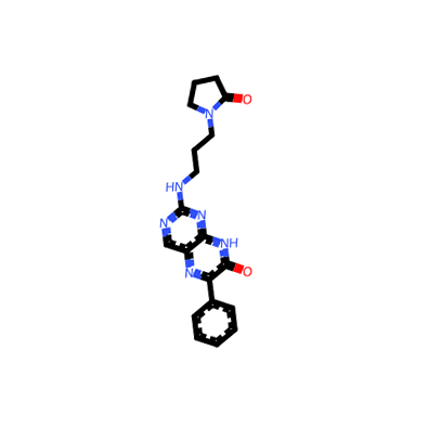 O=C1CCCN1CCCNc1ncc2nc(-c3ccccc3)c(=O)[nH]c2n1